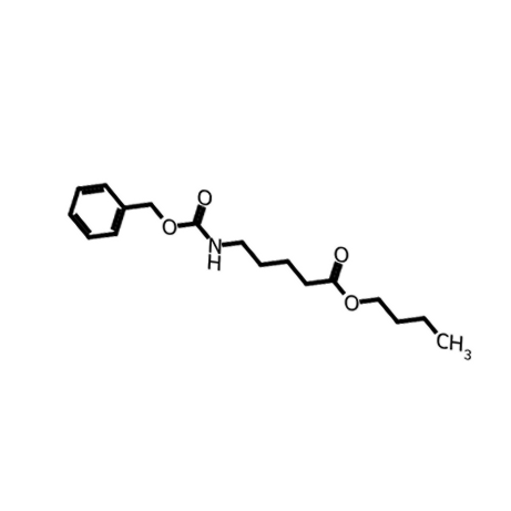 CCCCOC(=O)CCCCNC(=O)OCc1ccccc1